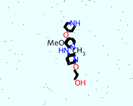 COc1c(OC2CCNCC2)ccnc1Nc1ccc(OCCCO)nc1C